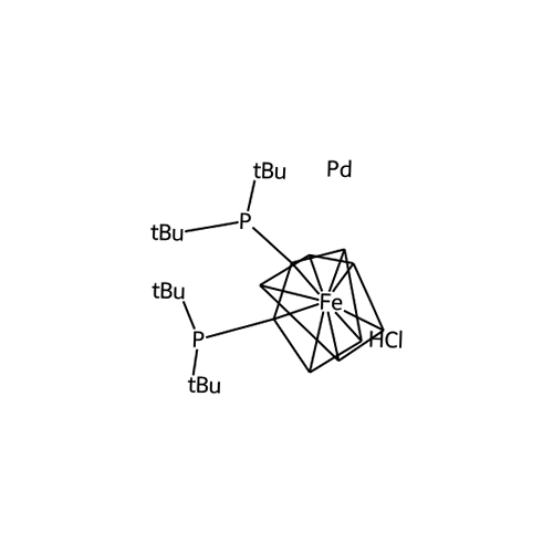 CC(C)(C)P(C(C)(C)C)[C]12[CH]3[CH]4[CH]5[C]1(P(C(C)(C)C)C(C)(C)C)[Fe]43521678[CH]2[CH]1[CH]6[CH]7[CH]28.Cl.[Pd]